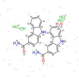 Cl.Cl.Cl.Cl.NC(=O)c1ccc2[nH]c3ccccc3c2c1.NC(=O)c1ccc2[nH]c3ccccc3c2c1.O